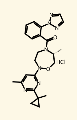 Cc1cc(N2CCN(C(=O)c3ccccc3-n3nccn3)[C@H](C)CO2)nc(C2(C)CC2)n1.Cl